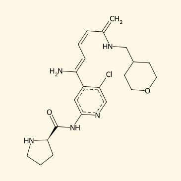 C=C(/C=C\C=C(/N)c1cc(NC(=O)[C@H]2CCCN2)ncc1Cl)NCC1CCOCC1